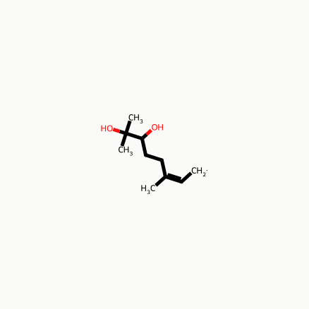 [CH2]C=C(C)CCC(O)C(C)(C)O